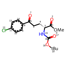 COC(=O)[C@@H](CCC(=O)c1ccc(Cl)cc1)NC(=O)OC(C)(C)C